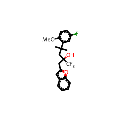 COc1ccc(F)cc1C(C)(C)CC(O)(Cc1cc2ccccc2o1)C(F)(F)F